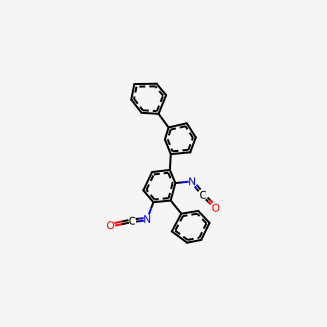 O=C=Nc1ccc(-c2cccc(-c3ccccc3)c2)c(N=C=O)c1-c1ccccc1